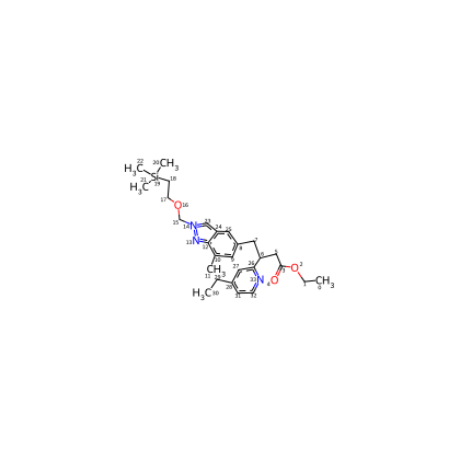 CCOC(=O)CC(Cc1cc(C)c2nn(COCC[Si](C)(C)C)cc2c1)c1cc(CC)ccn1